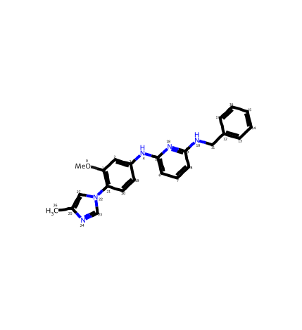 COc1cc(Nc2cccc(NCc3ccccc3)n2)ccc1-n1cnc(C)c1